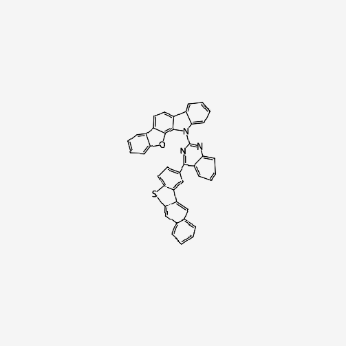 c1ccc2cc3c(cc2c1)sc1ccc(-c2nc(-n4c5ccccc5c5ccc6c7ccccc7oc6c54)nc4ccccc24)cc13